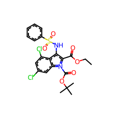 CCOC(=O)c1c(NS(=O)(=O)c2ccccc2)c2c(Cl)cc(Cl)cc2n1C(=O)OC(C)(C)C